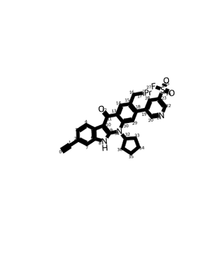 C#Cc1ccc2c(c1)[nH]c1c2c(=O)c2cc(CC(C)C)c(-c3cncc(S(=O)(=O)F)c3)cc2n1C1CCCC1